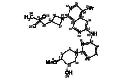 CO[C@H]1CCN(c2nccc(Nc3cc4c(C(C)C)cnc(N5CC(CS(C)(=O)=O)C5)c4cn3)n2)C[C@@H]1O